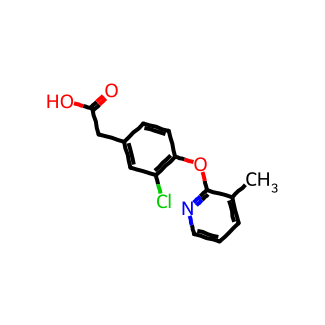 Cc1cccnc1Oc1ccc(CC(=O)O)cc1Cl